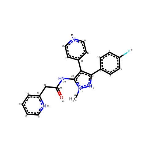 Cn1nc(-c2ccc(F)cc2)c(-c2ccncc2)c1NC(=O)Cc1ccccn1